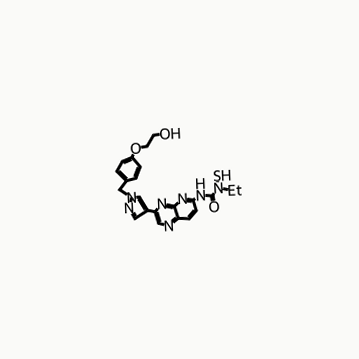 CCN(S)C(=O)Nc1ccc2ncc(-c3cnn(Cc4ccc(OCCO)cc4)c3)nc2n1